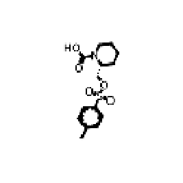 Cc1ccc(S(=O)(=O)OC[C@H]2CCCCN2C(=O)O)cc1